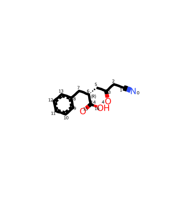 N#CCC(=O)C[C@@H](Cc1ccccc1)C(=O)O